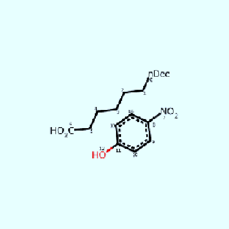 CCCCCCCCCCCCCCCC(=O)O.O=[N+]([O-])c1ccc(O)cc1